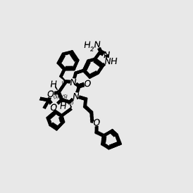 CC1(C)O[C@@H]2[C@@H](O1)[C@@H](Cc1ccccc1)N(Cc1ccc3[nH]nc(N)c3c1)C(=O)N(CCCCOCc1ccccc1)[C@@H]2Cc1ccccc1